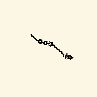 CCCCCCc1ccc(-c2ccc(-c3ncc(CCCCCCCCCOS(=O)(=O)c4ccc(C)cc4)cn3)cc2)cc1